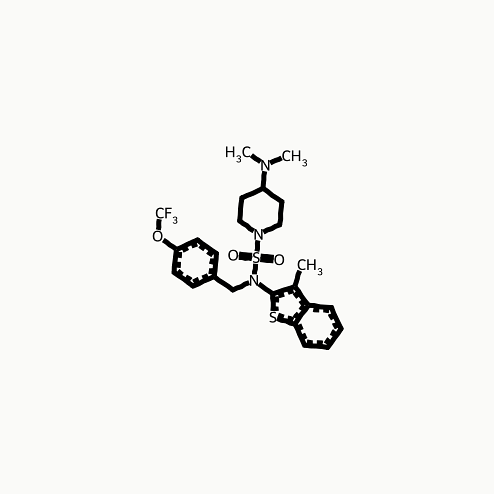 Cc1c(N(Cc2ccc(OC(F)(F)F)cc2)S(=O)(=O)N2CCC(N(C)C)CC2)sc2ccccc12